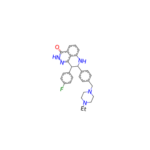 CCN1CCN(Cc2ccc(C3Nc4cccc5c(=O)[nH]nc(c45)C3c3ccc(F)cc3)cc2)CC1